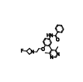 Cc1ncnc(C)c1-c1cc(NC(=O)c2ccccc2)ccc1OCCN1CC(F)C1